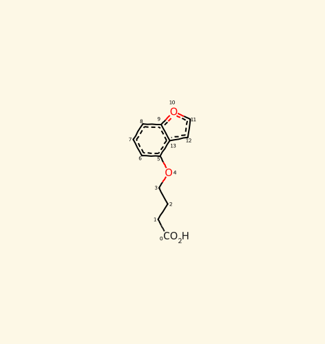 O=C(O)CCCOc1cccc2occc12